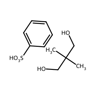 CC(C)(CO)CO.O=S(=O)(O)c1ccccc1